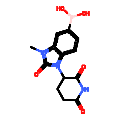 Cn1c(=O)n(C2CCC(=O)NC2=O)c2ccc(B(O)O)cc21